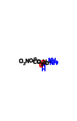 N=C(N)c1ccc(NS(=O)(=O)c2ccc(C3CCC3(C(=O)O)c3ccc([N+](=O)[O-])cc3)cc2)cc1